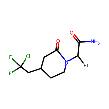 CCC(C(N)=O)N1CCC(CC(F)(F)Cl)CC1=O